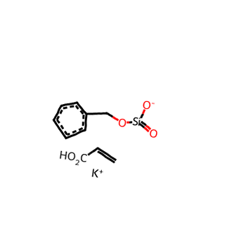 C=CC(=O)O.O=[Si]([O-])OCc1ccccc1.[K+]